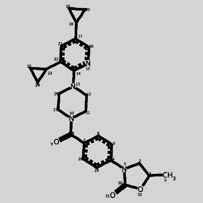 CC1CN(c2ccc(C(=O)N3CCN(c4ncc(C5CC5)cc4C4CC4)CC3)cc2)C(=O)O1